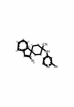 N#CC1(Nc2ccnc(Br)c2)CCC2(CC1)C(Br)=Cc1ccccc12